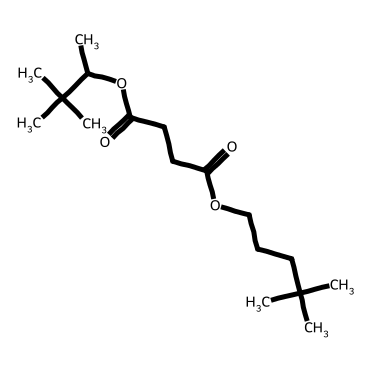 CC(OC(=O)CCC(=O)OCCCC(C)(C)C)C(C)(C)C